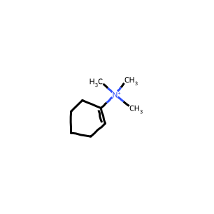 C[N+](C)(C)C1=CCCCC1